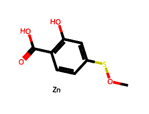 COSc1ccc(C(=O)O)c(O)c1.[Zn]